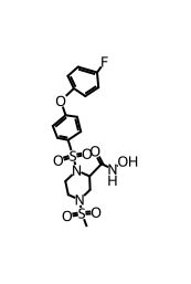 CS(=O)(=O)N1CCN(S(=O)(=O)c2ccc(Oc3ccc(F)cc3)cc2)C(C(=O)NO)C1